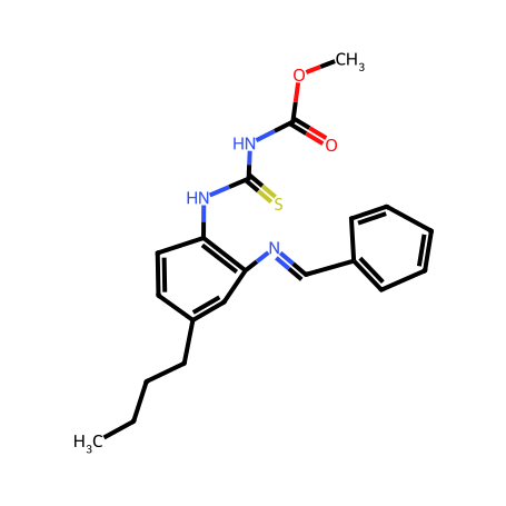 CCCCc1ccc(NC(=S)NC(=O)OC)c(N=Cc2ccccc2)c1